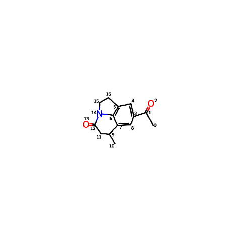 CC(=O)c1cc2c3c(c1)C(C)CC(=O)N3CC2